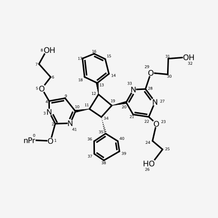 CCCOc1nc(OCCO)cc([C@H]2[C@@H](c3ccccc3)[C@@H](c3cc(OCCO)nc(OCCO)n3)[C@@H]2c2ccccc2)n1